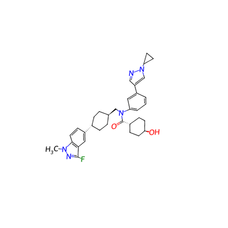 Cn1nc(F)c2cc([C@H]3CC[C@H](CN(c4cccc(-c5cnn(C6CC6)c5)c4)C(=O)[C@H]4CC[C@H](O)CC4)CC3)ccc21